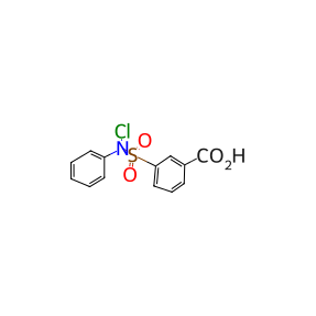 O=C(O)c1cccc(S(=O)(=O)N(Cl)c2ccccc2)c1